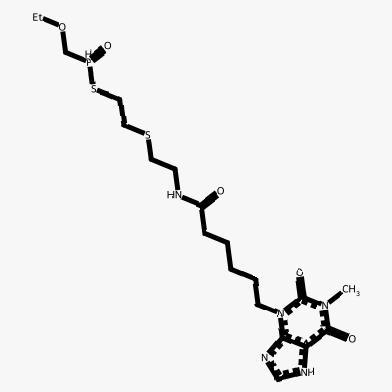 CCOC[PH](=O)SCCSCCNC(=O)CCCCCn1c(=O)n(C)c(=O)c2[nH]cnc21